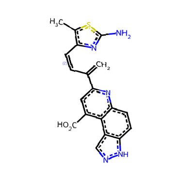 C=C(/C=C\c1nc(N)sc1C)c1cc(C(=O)O)c2c(ccc3[nH]ncc32)n1